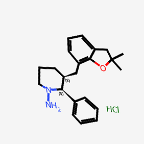 CC1(C)Cc2cccc(C[C@@H]3CCCN(N)[C@@H]3c3ccccc3)c2O1.Cl